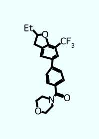 CCC1Cc2cc(-c3ccc(C(=O)N4CCOCC4)cc3)cc(C(F)(F)F)c2O1